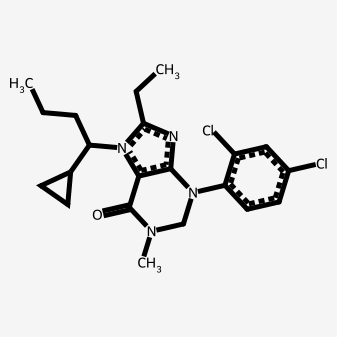 CCCC(C1CC1)n1c(CC)nc2c1C(=O)N(C)CN2c1ccc(Cl)cc1Cl